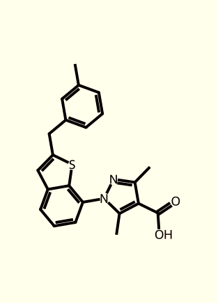 Cc1cccc(Cc2cc3cccc(-n4nc(C)c(C(=O)O)c4C)c3s2)c1